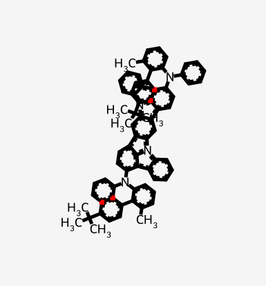 Cc1cccc(N(c2ccccc2)c2ccc3c4cc5c(cc4n4c6ccccc6c2c34)c2ccc(N(c3ccccc3)c3cccc(C)c3-c3ccc(C(C)(C)C)cc3)c3c4ccccc4n5c23)c1-c1ccc(C(C)(C)C)cc1